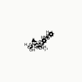 C[C@H](CC(=O)O)NC(=O)[C@H](CC1CC1)N1C(=O)N(Cc2ccc(NC(=O)Nc3ccccc3)cc2)C(C)(C)C1=O